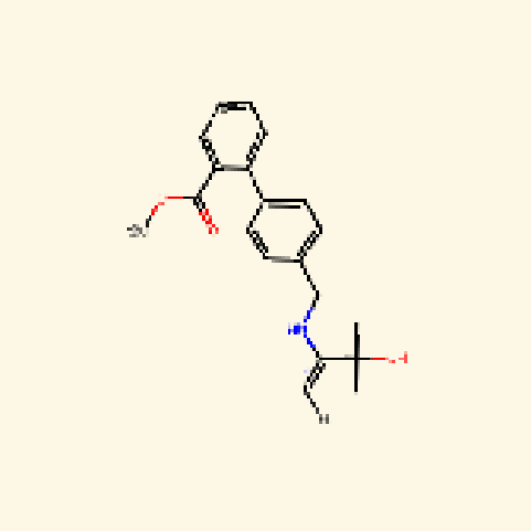 CC/C=C(/NCc1ccc(-c2ccccc2C(=O)OC(C)(C)C)cc1)C(C)(C)O